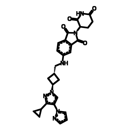 O=C1CCC(N2C(=O)c3ccc(NC[C@H]4C[C@H](n5cc(-n6cccn6)c(C6CC6)n5)C4)cc3C2=O)C(=O)N1